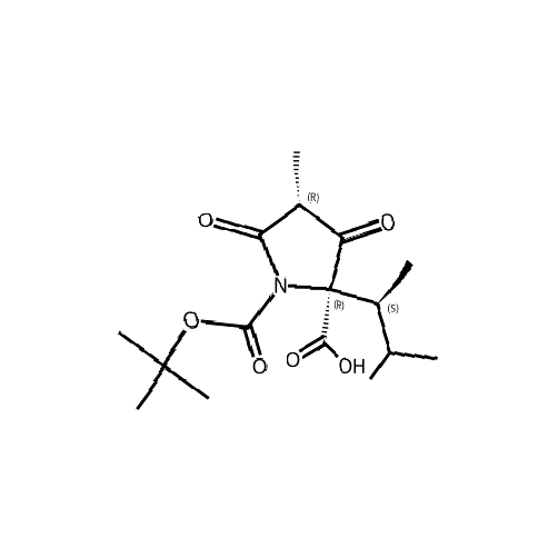 CC(C)[C@H](C)[C@]1(C(=O)O)C(=O)[C@@H](C)C(=O)N1C(=O)OC(C)(C)C